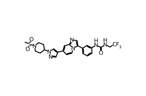 CS(=O)(=O)N1CCC(n2cc(-c3ccn4c(-c5cccc(NC(=O)NCC(F)(F)F)c5)cnc4c3)cn2)CC1